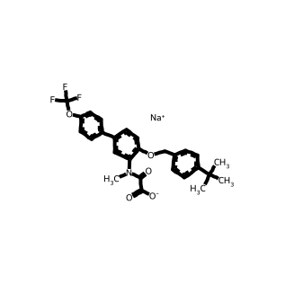 CN(C(=O)C(=O)[O-])c1cc(-c2ccc(OC(F)(F)F)cc2)ccc1OCc1ccc(C(C)(C)C)cc1.[Na+]